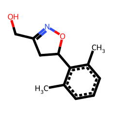 Cc1cccc(C)c1C1CC(CO)=NO1